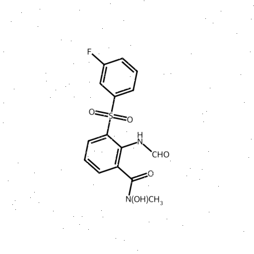 CN(O)C(=O)c1cccc(S(=O)(=O)c2cccc(F)c2)c1NC=O